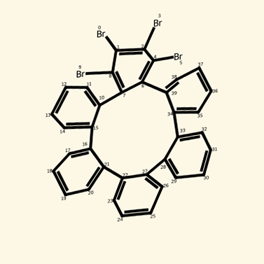 Brc1c(Br)c(Br)c2c(c1Br)-c1ccccc1-c1ccccc1-c1ccccc1-c1ccccc1-c1ccccc1-2